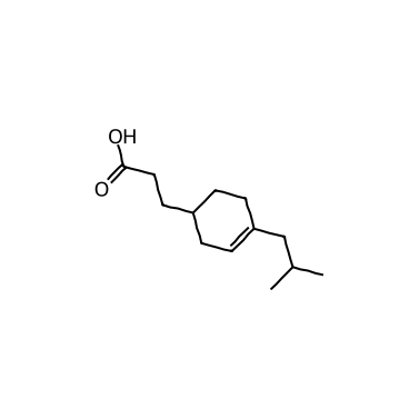 CC(C)CC1=CCC(CCC(=O)O)CC1